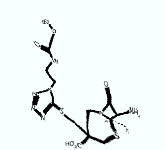 CC(C)(C)OC(=O)NCCn1nnnc1SCC1(C(=O)O)CS[C@@H]2C(N)C(=O)N2C1